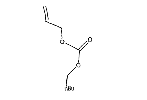 C=CCOC(=O)OCCCCC